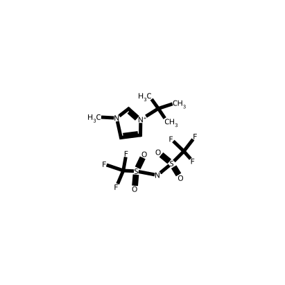 Cn1cc[n+](C(C)(C)C)c1.O=S(=O)([N-]S(=O)(=O)C(F)(F)F)C(F)(F)F